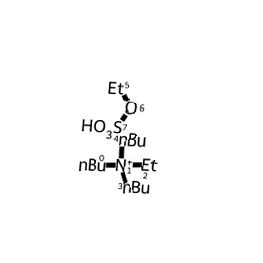 CCCC[N+](CC)(CCCC)CCCC.CCOS(=O)(=O)O